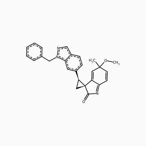 COC1(C)C=CC2=NC(=O)[C@@]3(C[C@H]3c3ccc4cnn(Cc5ccccc5)c4c3)C2=C1